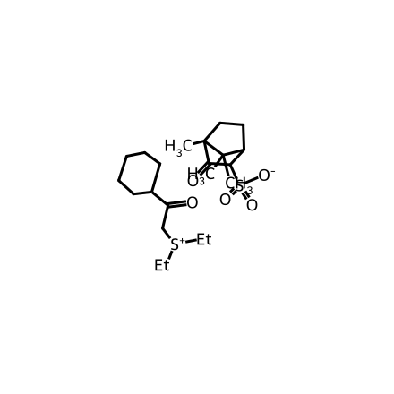 CC12CCC(C(S(=O)(=O)[O-])C1=O)C2(C)C.CC[S+](CC)CC(=O)C1CCCCC1